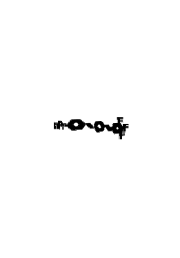 CCC[C@H]1CC[C@H](CC[C@H]2CC[C@H](CCc3cc(F)c(F)c(F)c3)CC2)CC1